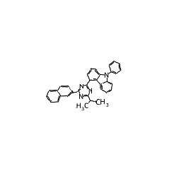 CC(C)c1nc(-c2ccc3ccccc3c2)nc(-c2cccc3c2c2ccccc2n3-c2ccccc2)n1